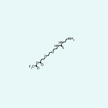 NCCNC(=S)NCCOCCOCCC(=O)OC(=O)C(F)(F)F